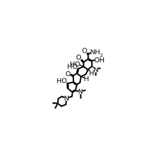 CN(C)c1c(CN2CCC(C)(C)CC2)cc(O)c2c1C[C@H]1C[C@H]3[C@H](N(C)C)C(O)=C(C(N)=O)C(=O)[C@@]3(O)C(O)=C1C2=O